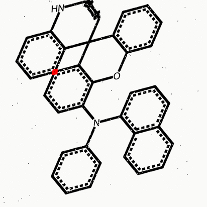 c1ccc(N(c2cccc3c2Oc2ccccc2C32c3ccccc3Nc3ccccc32)c2cccc3ccccc23)cc1